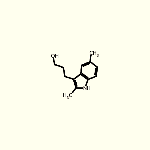 Cc1ccc2[nH]c(C)c(CCCO)c2c1